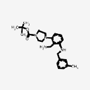 Cc1cccc(CNc2cccc(N3CCN(C(=O)OC(C)(C)C)CC3)c2CN)c1